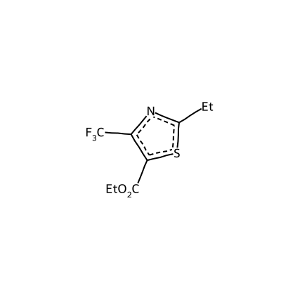 CCOC(=O)c1sc(CC)nc1C(F)(F)F